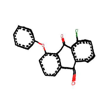 O=C1c2cccc(Cl)c2C(=O)c2c(Oc3ccccc3)cccc21